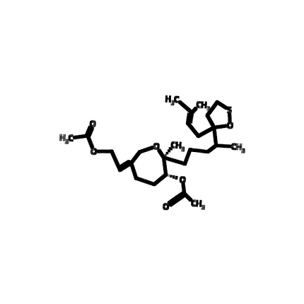 CC(=O)OCC=C1CC[C@@H](OC(C)=O)[C@](C)(CCCC(C)C2(CC=C(C)C)CCSO2)OC1